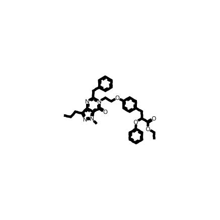 CCCc1nn(C)c2c(=O)n(CCOc3ccc(CC(Oc4ccccc4)C(=O)OCC)cc3)c(Cc3ccccc3)nc12